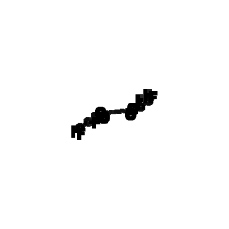 O=C(CCCCCCCCCC(=O)Oc1ccc(-c2ccc(-c3ccc(F)c(F)c3)cc2)c(F)c1)OCc1ccc(-c2ccc(F)c(F)c2)c(F)c1